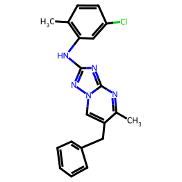 Cc1ccc(Cl)cc1Nc1nc2nc(C)c(Cc3ccccc3)cn2n1